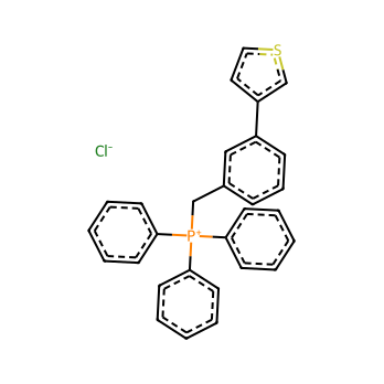 [Cl-].c1ccc([P+](Cc2cccc(-c3ccsc3)c2)(c2ccccc2)c2ccccc2)cc1